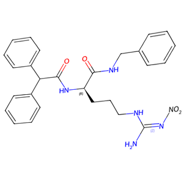 N/C(=N/[N+](=O)[O-])NCCC[C@@H](NC(=O)C(c1ccccc1)c1ccccc1)C(=O)NCc1ccccc1